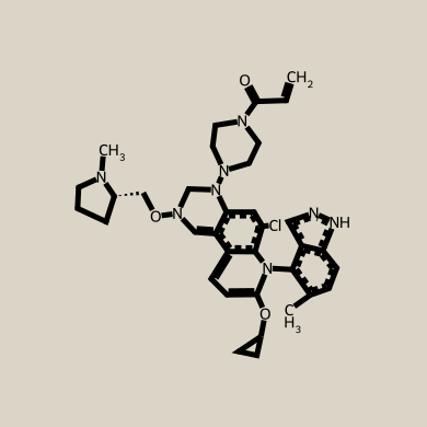 C=CC(=O)N1CCN(N2CN(OC[C@@H]3CCCN3C)C=c3c2cc(Cl)c2c3=CC=C(OC3CC3)N2c2c(C)ccc3[nH]ncc23)CC1